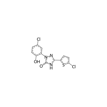 O=c1[nH]c(-c2ccc(Cl)s2)nn1-c1cc(Cl)ccc1O